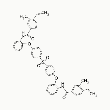 C=Cc1ccc(C(=O)Nc2ccccc2Oc2ccc(S(=O)(=O)c3ccc(Oc4ccccc4NC(=O)c4ccc(C=C)c(C)c4)cc3)cc2)cc1C